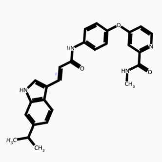 CNC(=O)c1cc(Oc2ccc(NC(=O)/C=C/c3c[nH]c4cc(C(C)C)ccc34)cc2)ccn1